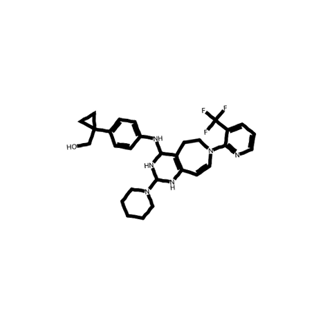 OCC1(c2ccc(NC3NC(N4CCCCC4)NC4=C3CCN(c3ncccc3C(F)(F)F)C=C4)cc2)CC1